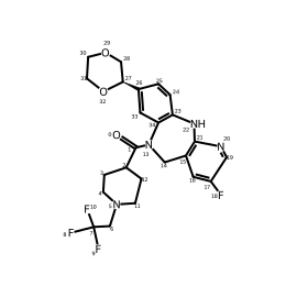 O=C(C1CCN(CC(F)(F)F)CC1)N1Cc2cc(F)cnc2Nc2ccc([C@@H]3COCCO3)cc21